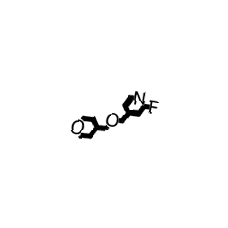 Fc1cc(COCC2CCOCC2)ccn1